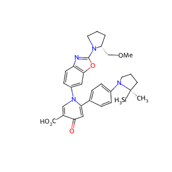 COC[C@H]1CCCN1c1nc2ccc(-n3cc(C(=O)O)c(=O)cc3-c3ccc(N4CCC[C@@]4(C)[SiH3])cc3)cc2o1